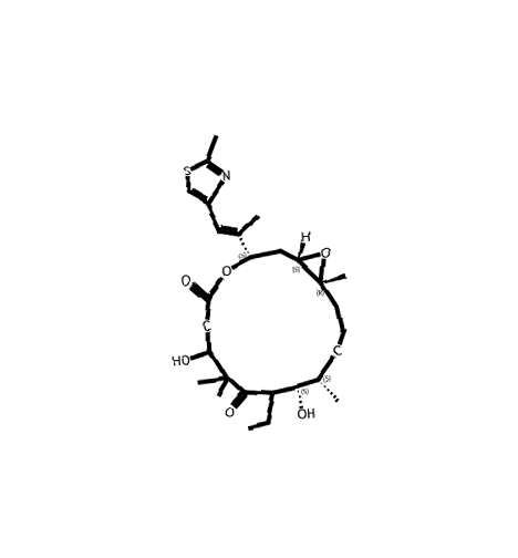 CCC1C(=O)C(C)(C)C(O)CC(=O)O[C@H](C(C)=Cc2csc(C)n2)C[C@@H]2O[C@]2(C)CCC[C@H](C)[C@@H]1O